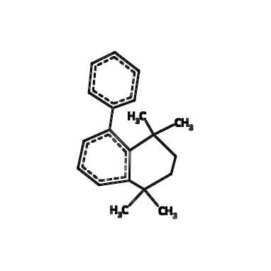 CC1(C)CCC(C)(C)c2c(-c3ccccc3)cccc21